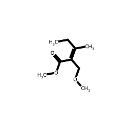 CCC(C)=C(COC)C(=O)OC